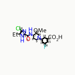 CCc1[nH]c(C(=O)N[C@@H]2CCN(c3cc(F)cc(C(=O)O)c3)C[C@@H]2OC)nc1Cl